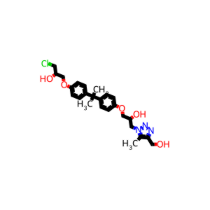 Cc1c(CO)nnn1CC(O)COc1ccc(C(C)(C)c2ccc(OCC(O)CCl)cc2)cc1